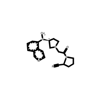 CN(c1cccc2cnccc12)[C@H]1CCN(CC(=O)N2CCCC2C#N)C1